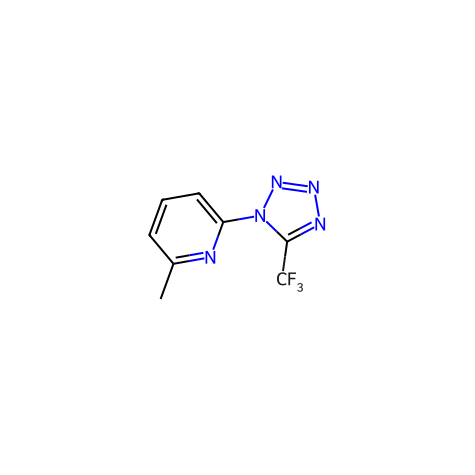 Cc1cccc(-n2nnnc2C(F)(F)F)n1